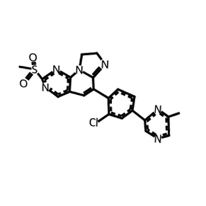 Cc1cncc(-c2ccc(C3=Cc4cnc(S(C)(=O)=O)nc4N4CCN=C34)c(Cl)c2)n1